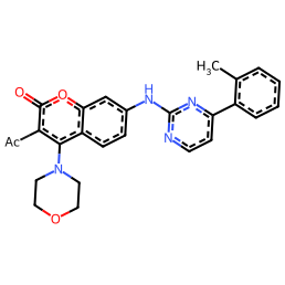 CC(=O)c1c(N2CCOCC2)c2ccc(Nc3nccc(-c4ccccc4C)n3)cc2oc1=O